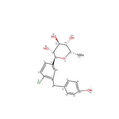 CS[C@@H]1O[C@@H](c2ccc(Cl)c(Cc3ccc(O)cc3)c2)[C@H](O)[C@@H](O)[C@@H]1O